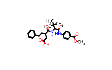 COC(=O)c1ccc(NC(=O)C(NC(=O)C(CCc2ccccc2)CC(=O)O)C(C)(C)C)cc1